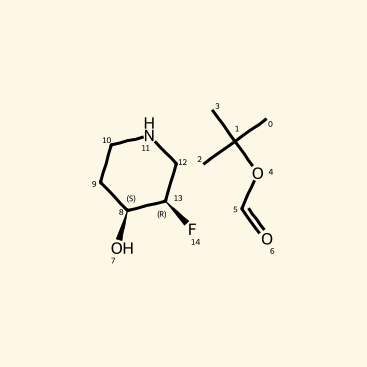 CC(C)(C)OC=O.O[C@H]1CCNC[C@H]1F